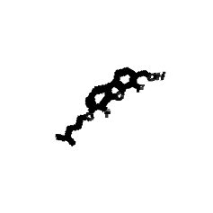 CC(C)CCCOc1ccc2c(oc3c(F)c(CO)ccc32)c1F